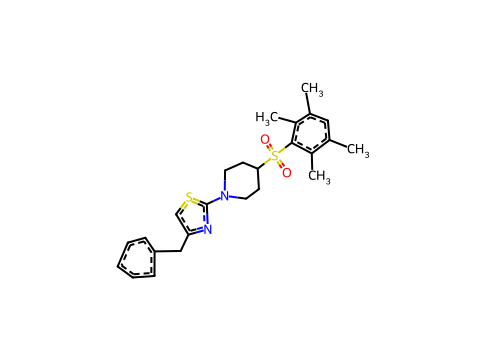 Cc1cc(C)c(C)c(S(=O)(=O)C2CCN(c3nc(Cc4ccccc4)cs3)CC2)c1C